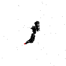 CCCCOC(=O)N1CCC2(CC1)CCN(c1ccc(Nc3ncc(Cl)c(Nc4ccccc4N(C)S(C)(=O)=O)n3)c(OC)c1)CC2